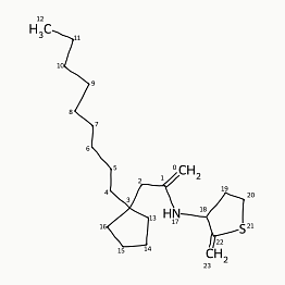 C=C(CC1(CCCCCCCCC)CCCC1)NC1CCSC1=C